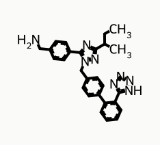 CCC(C)c1nc(-c2ccc(CN)cc2)n(Cc2ccc(-c3ccccc3-c3nnn[nH]3)cc2)n1